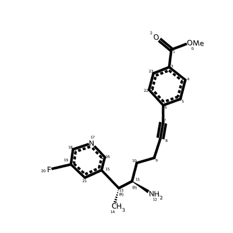 COC(=O)c1ccc(C#CCC[C@@H](N)[C@H](C)c2cncc(F)c2)cc1